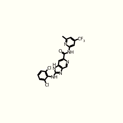 Cc1cc(C(F)(F)F)cc(NC(=O)c2cc3[nH]c(Nc4c(Cl)cccc4Cl)nc3cn2)n1